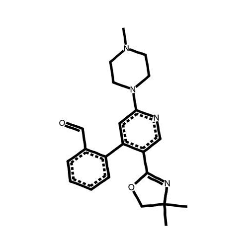 CN1CCN(c2cc(-c3ccccc3C=O)c(C3=NC(C)(C)CO3)cn2)CC1